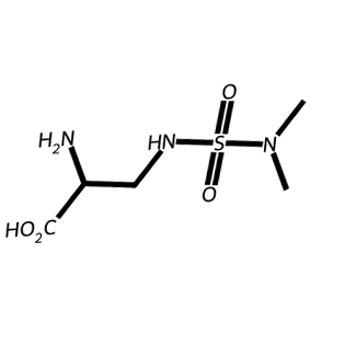 CN(C)S(=O)(=O)NCC(N)C(=O)O